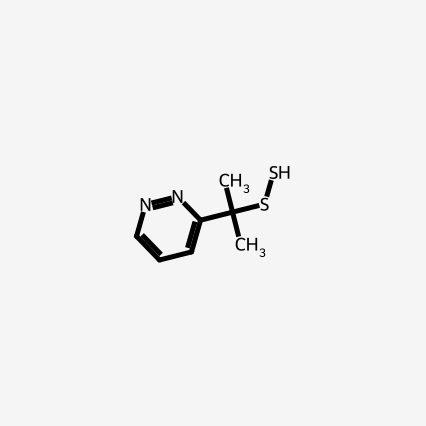 CC(C)(SS)c1cccnn1